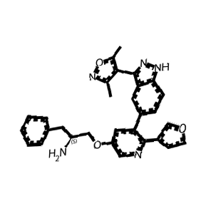 Cc1noc(C)c1-c1n[nH]c2ccc(-c3cc(OC[C@@H](N)Cc4ccccc4)cnc3-c3ccoc3)cc12